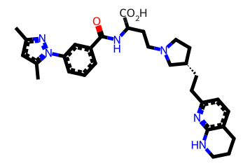 Cc1cc(C)n(-c2cccc(C(=O)NC(CCN3CC[C@H](CCc4ccc5c(n4)NCCC5)C3)C(=O)O)c2)n1